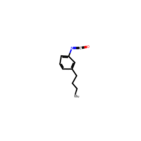 CC(C)(C)CCCc1cccc(N=C=O)c1